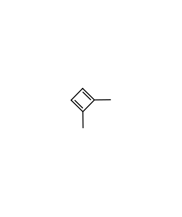 CC1=CC=C1C